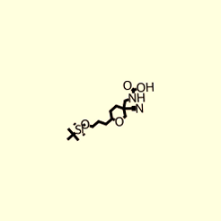 CC(C)(C)[Si](C)(C)OCCCC1CCC(C#N)(CNC(=O)O)CO1